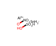 O=S(=O)(O)O.O=[N+]([O-])[O-].[Al+3].[SnH2]